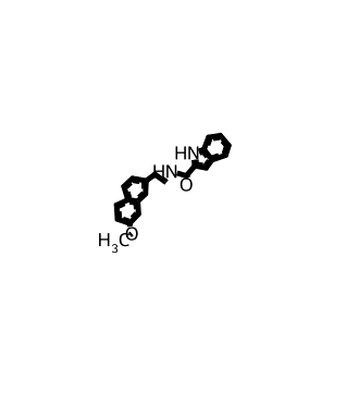 COc1ccc2ccc(CCNC(=O)c3cc4ccccc4[nH]3)cc2c1